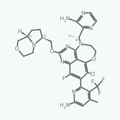 Cc1cc(N)nc(-c2c(Cl)c3c4c(nc(OC[C@@H]5CC[C@H]6COCCN65)nc4c2F)N([C@H](C)c2nccnc2N)CCO3)c1C(F)(F)F